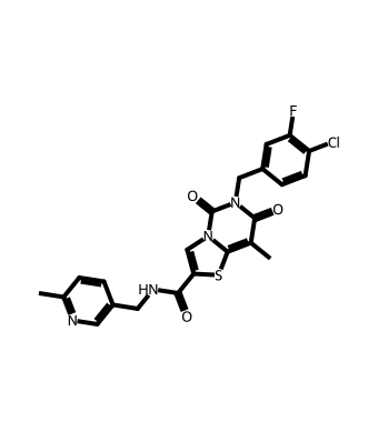 Cc1ccc(CNC(=O)c2cn3c(=O)n(Cc4ccc(Cl)c(F)c4)c(=O)c(C)c3s2)cn1